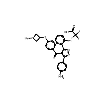 CCCN1CC(Oc2ccc(C(=O)c3c(-c4ccccc4Cl)noc3-c3ccc(N)cc3)cc2)C1.O=C(O)C(F)(F)F